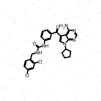 Nc1ncnc2c1c(C(=O)c1cccc(NC(=O)NCc3ccc(Cl)cc3Cl)c1)cn2C1CCCC1